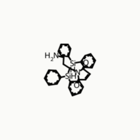 NCCC(N1C(=O)C=CC1=O)([SiH](c1ccccc1)c1ccccc1)[SiH](c1ccccc1)c1ccccc1